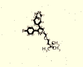 C[Si](C)(C)CCOCn1cc(-c2ccc3nncn3c2)c(-c2ccc(F)cc2)n1